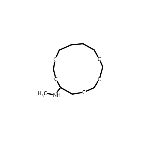 CNC1CCCCCCCCCCCCC1